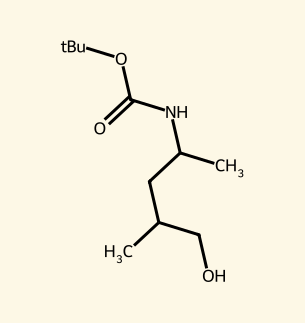 CC(CO)CC(C)NC(=O)OC(C)(C)C